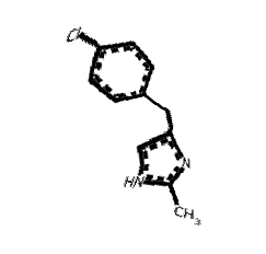 Cc1nc(Cc2ccc(Cl)cc2)c[nH]1